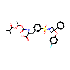 CC(C)C(=O)O[C@@H](C)OC(=O)N[C@@H](Cc1cccc(S(=O)(=O)N2CC(Oc3ccc(F)cc3)(c3ccccc3)C2)c1)C(=O)O